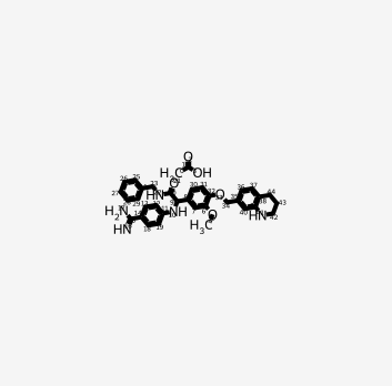 CC(=O)O.COc1cc(C(Nc2ccc(C(=N)N)cc2)C(=O)NCc2ccccc2)ccc1OCc1ccc2c(c1)NCCC2